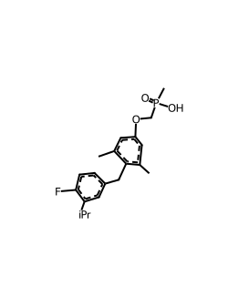 Cc1cc(OCP(C)(=O)O)cc(C)c1Cc1ccc(F)c(C(C)C)c1